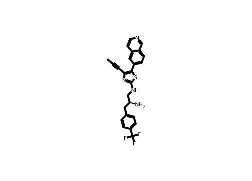 CC#Cc1nc(NC[C@@H](N)Cc2ccc(C(F)(F)F)cc2)sc1-c1ccc2cnccc2c1